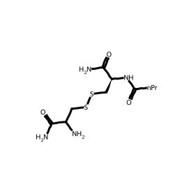 CCCC(=O)N[C@@H](CSSCC(N)C(N)=O)C(N)=O